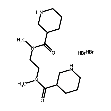 Br.Br.CN(CCN(C)C(=O)C1CCCNC1)C(=O)C1CCCNC1